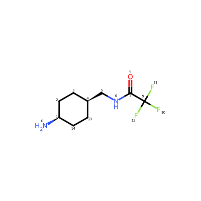 N[C@H]1CC[C@@H](CNC(=O)C(F)(F)F)CC1